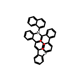 c1ccc(N(c2cccc3ccccc23)c2cc3ccccc3c3ccccc23)c(-c2ccc3sc4ccccc4c3c2)c1